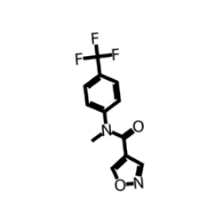 CN(C(=O)c1cnoc1)c1ccc(C(F)(F)F)cc1